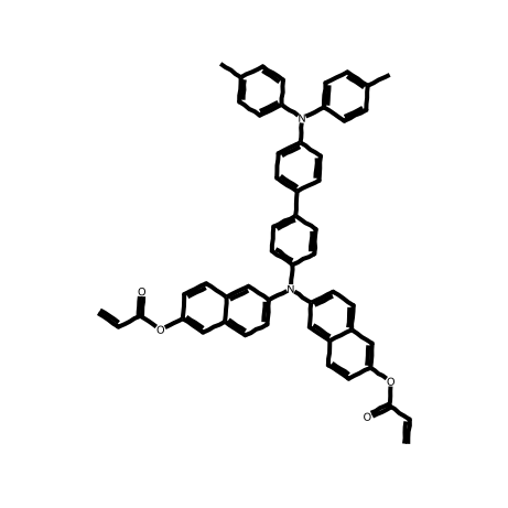 C=CC(=O)Oc1ccc2cc(N(c3ccc(-c4ccc(N(c5ccc(C)cc5)c5ccc(C)cc5)cc4)cc3)c3ccc4cc(OC(=O)C=C)ccc4c3)ccc2c1